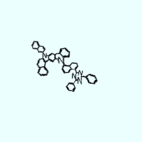 c1ccc(-c2nc(-c3ccccc3)nc(-c3cccc4c(-n5c6ccccc6c6cc7c(cc65)c5c6ccccc6ccc5n7-c5ccc6ccccc6c5)cccc34)n2)cc1